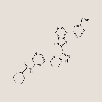 COc1cccc(-c2cncc3[nH]c(-c4n[nH]c5ccc(-c6cncc(NC(=O)C7CCCCC7)c6)nc45)nc23)c1